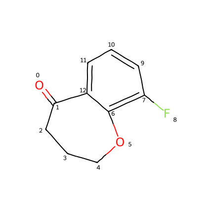 O=C1CCCOc2c(F)cccc21